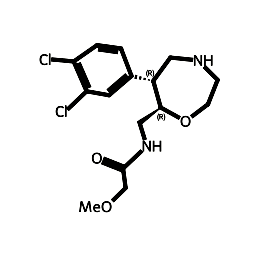 COCC(=O)NC[C@@H]1OCCNC[C@H]1c1ccc(Cl)c(Cl)c1